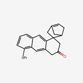 CCCc1cccc2cc3c(cc12)CC(=O)CC31CC2=CCC1C2